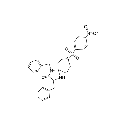 O=C1C(Cc2ccccc2)NC2(CCN(S(=O)(=O)c3ccc([N+](=O)[O-])cc3)CC2)N1Cc1ccccc1